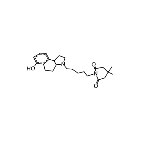 CC1(C)CC(=O)N(CCCCCN2CCC3c4cccc(O)c4CCC32)C(=O)C1